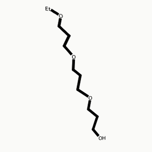 CCOCCCOCCCOCCCO